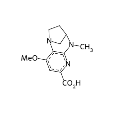 COc1cc(C(=O)O)nc2c1N1CCC(C1)N2C